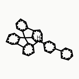 c1ccc(-c2ccc(Nc3cccc4c3C3(c5ccccc5-c5ccccc53)c3ccccc3-4)cc2)cc1